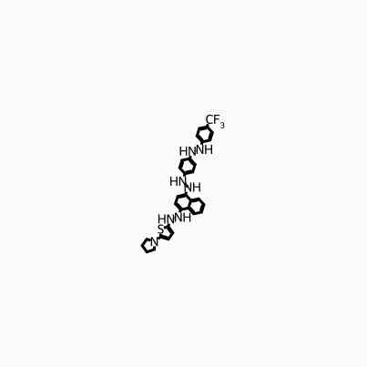 FC(F)(F)c1ccc(NNc2ccc(NNc3ccc(NNc4ccc(N5CCCC5)s4)c4ccccc34)cc2)cc1